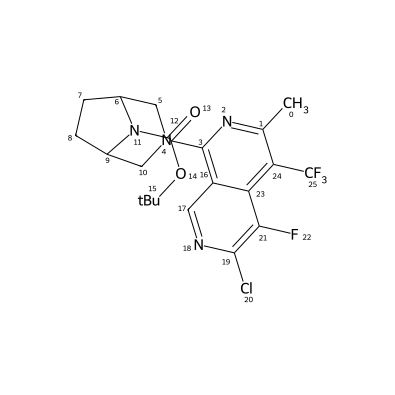 Cc1nc(N2CC3CCC(C2)N3C(=O)OC(C)(C)C)c2cnc(Cl)c(F)c2c1C(F)(F)F